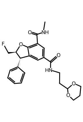 CNC(=O)c1cc(C(=O)NCCC2OCCCO2)cc2c1O[C@H](CF)[C@H]2c1ccccc1